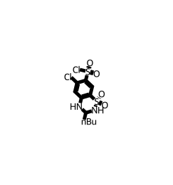 CCCCC1Nc2cc(Cl)c(S(=O)(=O)Cl)cc2S(=O)(=O)N1